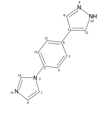 c1cn(-c2ccc(-c3cn[nH]c3)cc2)cn1